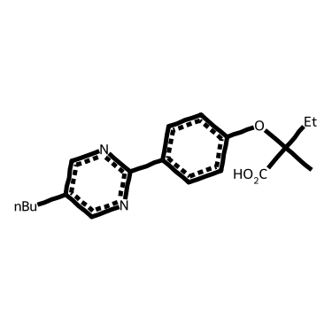 CCCCc1cnc(-c2ccc(OC(C)(CC)C(=O)O)cc2)nc1